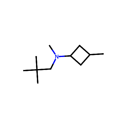 CC1CC(N(C)CC(C)(C)C)C1